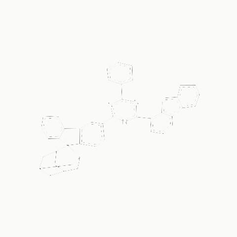 c1ccc(-c2nc(-c3ccc4c(c3)-c3ccccc3C43C4CC5CC(C4)CC3C5)nc(-c3cccc4c3sc3ccccc34)n2)cc1